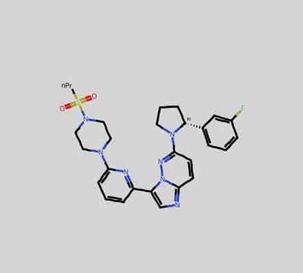 CCCS(=O)(=O)N1CCN(c2cccc(-c3cnc4ccc(N5CCC[C@@H]5c5cccc(F)c5)nn34)n2)CC1